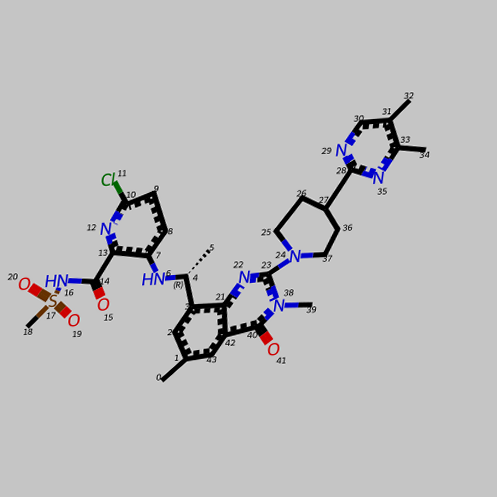 Cc1cc([C@@H](C)Nc2ccc(Cl)nc2C(=O)NS(C)(=O)=O)c2nc(N3CCC(c4ncc(C)c(C)n4)CC3)n(C)c(=O)c2c1